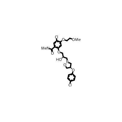 CNC(=O)c1cc(Cl)c(OCCOC)cc1OC[C@H](O)CN1C[C@@H](Oc2ccc(Cl)cc2)CO1